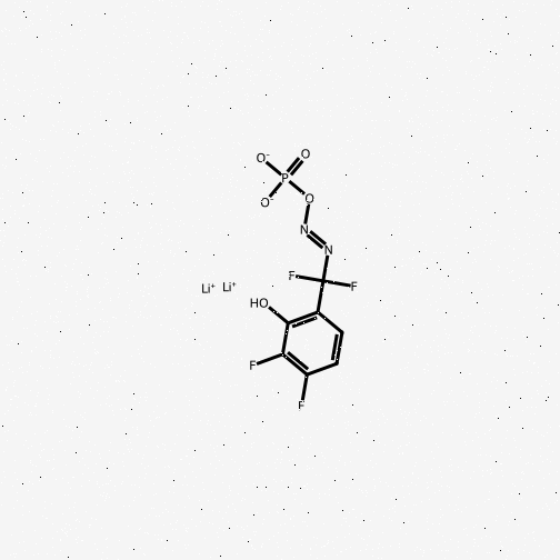 O=P([O-])([O-])ON=NC(F)(F)c1ccc(F)c(F)c1O.[Li+].[Li+]